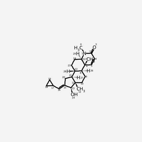 CN1C(=O)C=C[C@]2(C)[C@H]3CC[C@]4(C)[C@@H](O)C(=CC5CC5)C[C@H]4[C@@H]3CC[C@@H]12